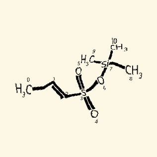 CC=CS(=O)(=O)O[Si](C)(C)C